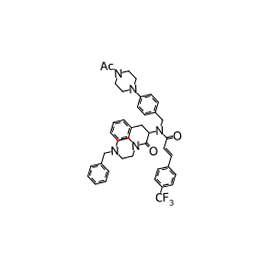 CC(=O)N1CCN(c2ccc(CN(C(=O)C=Cc3ccc(C(F)(F)F)cc3)C(Cc3ccccc3)C(=O)N3CCN(Cc4ccccc4)CC3)cc2)CC1